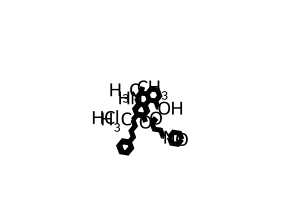 CC(CCCc1ccccc1)c1cc2c(cc1OC(=O)CCCN1CCOCC1)C1C(CO)CCCC1C(C)(C)N2.Cl